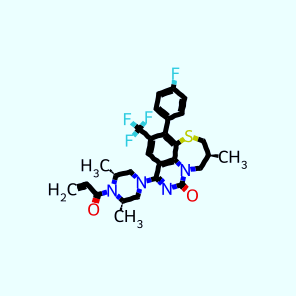 C=CC(=O)N1[C@H](C)CN(c2nc(=O)n3c4c(c(-c5ccc(F)cc5)c(C(F)(F)F)cc24)SC[C@@H](C)C3)C[C@@H]1C